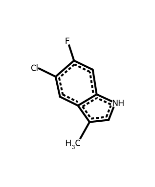 Cc1c[nH]c2cc(F)c(Cl)cc12